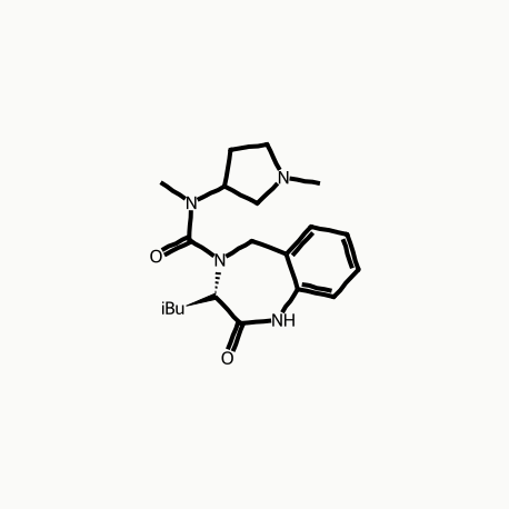 CC[C@H](C)[C@H]1C(=O)Nc2ccccc2CN1C(=O)N(C)C1CCN(C)C1